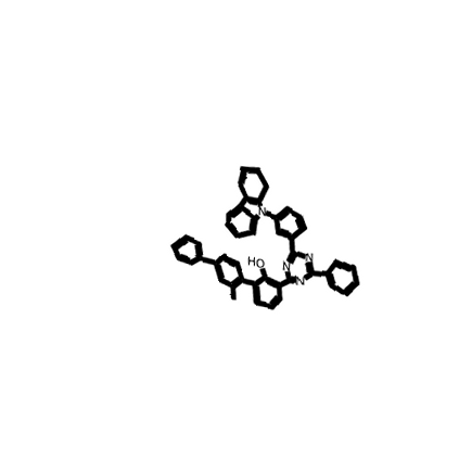 Cc1cc(-c2ccccc2)ccc1-c1cccc(-c2nc(-c3ccccc3)nc(-c3cccc(-n4c5c(c6ccccc64)C=CCC5)c3)n2)c1O